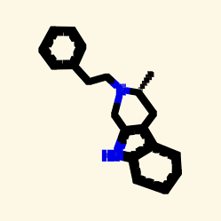 C[C@@H]1Cc2c([nH]c3ccccc23)CN1CCc1ccccc1